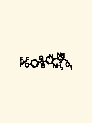 CCOCc1nnc(-c2ncc(S(=O)(=O)c3ccc(OC(F)(F)F)cc3)cc2N)s1